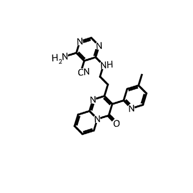 Cc1ccnc(-c2c(CCNc3ncnc(N)c3C#N)nc3ccccn3c2=O)c1